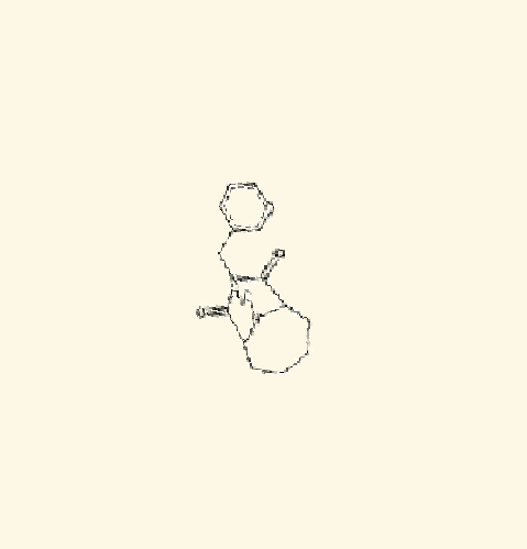 CN1C2CCCCC1C(=O)N(Cc1ccccc1)C2=O